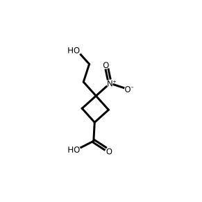 O=C(O)C1CC(CCO)([N+](=O)[O-])C1